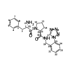 N[C@@H](Cc1ccccc1)C(=O)N1CCC[C@H]1C(=O)NCc1ccccc1-n1cnnn1